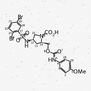 COc1ccc(NC(=O)OC[C@H]2C[C@@H](NS(=O)(=O)c3cc(Br)ccc3Br)CN2C(=O)O)cc1